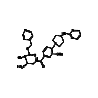 COc1cc(C(=O)NC[C@@H](C(=O)O)N(C(=O)OCc2ccccc2)C(C)(C)C)ccc1N1CCC(Nc2ncccn2)CC1